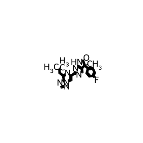 CC(C)Cc1nc(-c2ncc3c(n2)NC(=O)[C@@]3(C)c2ccc(F)cc2)cn2ncnc12